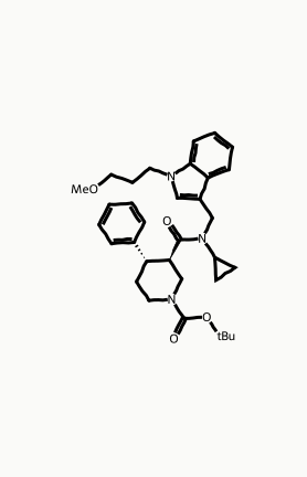 COCCCn1cc(CN(C(=O)[C@H]2CN(C(=O)OC(C)(C)C)CC[C@@H]2c2ccccc2)C2CC2)c2ccccc21